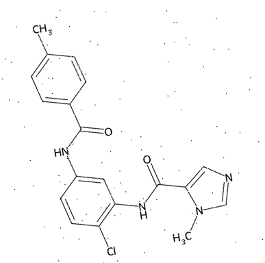 Cc1ccc(C(=O)Nc2ccc(Cl)c(NC(=O)c3cncn3C)c2)cc1